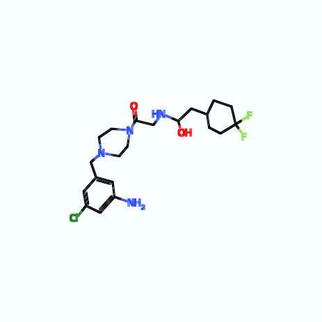 Nc1cc(Cl)cc(CN2CCN(C(=O)CNC(O)CC3CCC(F)(F)CC3)CC2)c1